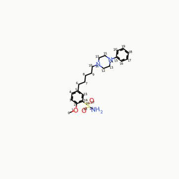 COc1ccc(CCCCCN2CCN(c3ccccc3)CC2)cc1S(N)(=O)=O